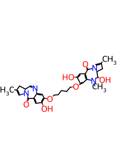 CC1=CN2C(=O)c3cc(O)c(OCCCCCOc4cc5c(cc4O)C(=O)N4C=C(C)CC4C(O)N5C)cc3N=CC2C1